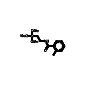 CO[Si](CCNC(=O)c1ccccc1C)(OC)OC